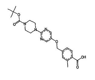 Cc1cc(COc2cnc(N3CCN(C(=O)OC(C)(C)C)CC3)nc2)ccc1C(=O)O